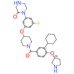 O=C(c1ccc(O[C@H]2CCNC2)c(C2CCCCC2)c1)N1CCC(Oc2cc(F)cc(N3CCNCC3=O)c2)CC1